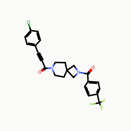 O=C(C#Cc1ccc(Cl)cc1)N1CCC2(CC1)CN(C(=O)c1ccc(C(F)(F)F)cc1)C2